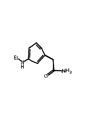 CCNc1cccc(CC(N)=O)c1